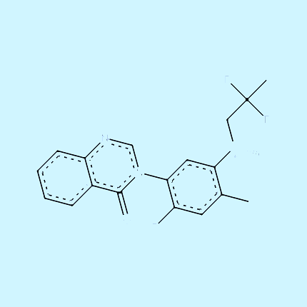 Cc1cc(F)c(-n2cnc3ccccc3c2=O)cc1[S@@+]([O-])CC(C)(F)F